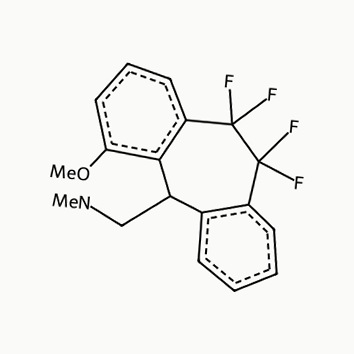 CNCC1c2ccccc2C(F)(F)C(F)(F)c2cccc(OC)c21